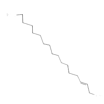 CCCCCCCCCCCC=CCCCCCCCCCCCCCC(=O)O